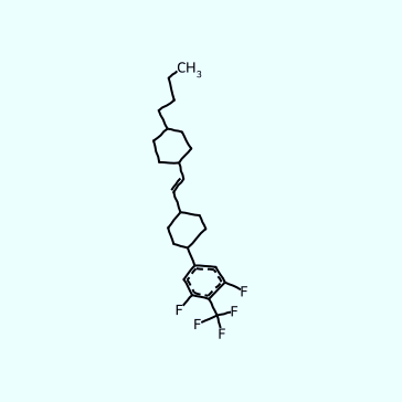 CCCCC1CCC(/C=C/C2CCC(c3cc(F)c(C(F)(F)F)c(F)c3)CC2)CC1